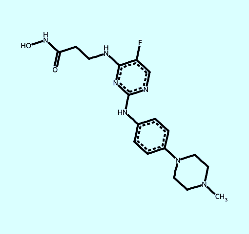 CN1CCN(c2ccc(Nc3ncc(F)c(NCCC(=O)NO)n3)cc2)CC1